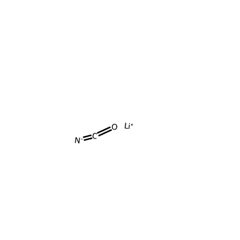 [Li+].[N-]=C=O